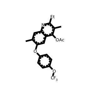 CCc1nc2cc(C)c(Oc3ccc(OC(F)(F)F)cc3)cc2c(OC(C)=O)c1C